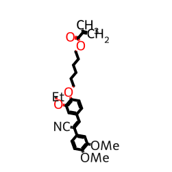 C=C(C)C(=O)OCCCCCCOc1ccc(/C=C(\C#N)c2ccc(OC)c(OC)c2)cc1OCC